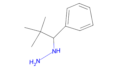 CC(C)(C)C(NN)c1ccccc1